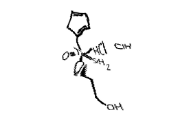 Cl.Cl.[CH3][Ti](=[O])(=[SiH2])([O]CCO)[C]1=CC=CC1